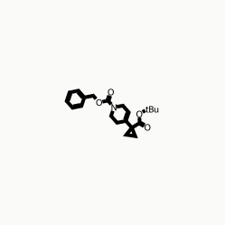 CC(C)(C)OC(=O)C1(C2=CCN(C(=O)OCc3ccccc3)CC2)CC1